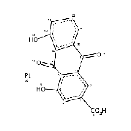 O=C(O)c1cc(O)c2c(c1)C(=O)c1cccc(O)c1C2=O.[Pt]